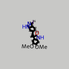 COc1cc2c(cc1OC)C1(CC1c1ccc3c(I)n[nH]c3c1)C(=O)N2